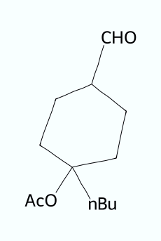 CCCCC1(OC(C)=O)CCC(C=O)CC1